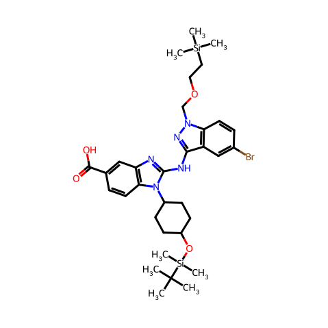 CC(C)(C)[Si](C)(C)OC1CCC(n2c(Nc3nn(COCC[Si](C)(C)C)c4ccc(Br)cc34)nc3cc(C(=O)O)ccc32)CC1